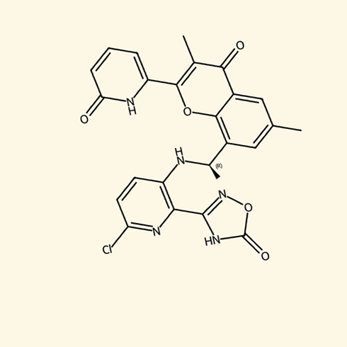 Cc1cc([C@@H](C)Nc2ccc(Cl)nc2-c2noc(=O)[nH]2)c2oc(-c3cccc(=O)[nH]3)c(C)c(=O)c2c1